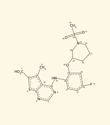 Cc1c(C(=O)O)sc2ncnc(Nc3ccc(F)cc3OC3CCCN(S(C)(=O)=O)C3)c12